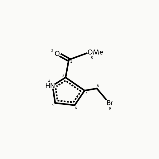 COC(=O)c1[nH]ccc1CBr